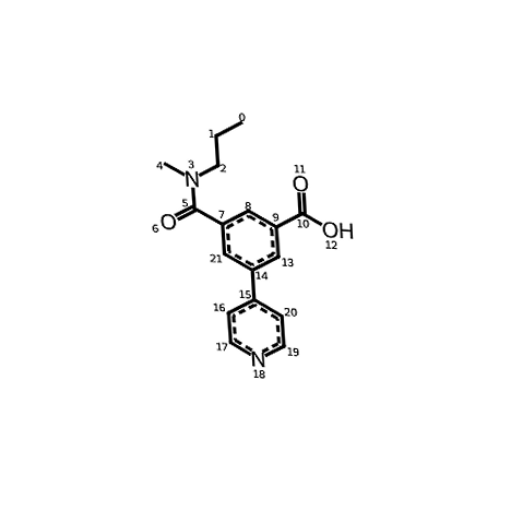 CCCN(C)C(=O)c1cc(C(=O)O)cc(-c2ccncc2)c1